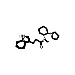 CN(C(=O)CCc1c[nH]c2ccccc12)[C@@H]1CCCC[C@H]1N1CCCC1